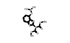 CC(C)(C)OC(=O)N(C(=O)OC(C)(C)C)c1nc2c(OB(O)O)cccc2s1